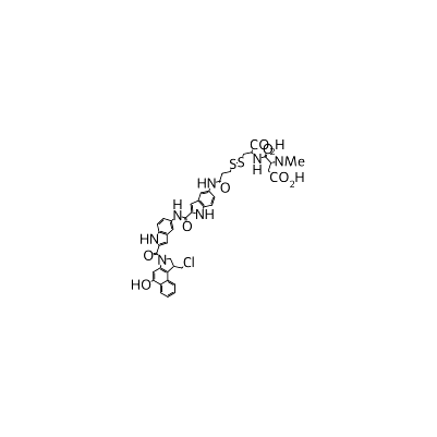 CN[C@@H](CC(=O)O)C(=O)N[C@@H](CSSCCC(=O)Nc1ccc2[nH]c(C(=O)Nc3ccc4[nH]c(C(=O)N5CC(CCl)c6c5cc(O)c5ccccc65)cc4c3)cc2c1)C(=O)O